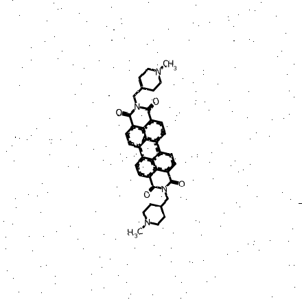 CN1CCC(CN2C(=O)c3ccc4c5ccc6c7c(ccc(c8ccc(c3c48)C2=O)c75)C(=O)N(CC2CCN(C)CC2)C6=O)CC1